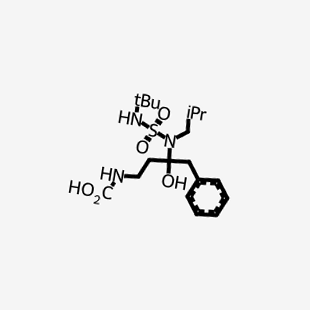 CC(C)CN(C(O)(CCNC(=O)O)Cc1ccccc1)S(=O)(=O)NC(C)(C)C